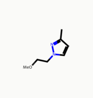 COCCn1c[c]c(C)n1